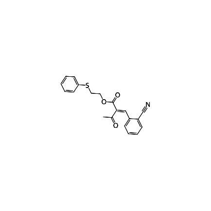 CC(=O)C(=Cc1ccccc1C#N)C(=O)OCCSc1ccccc1